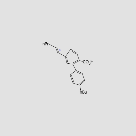 CCC/C=C/c1ccc(C(=O)O)c(-c2ccc(CCCC)cc2)c1